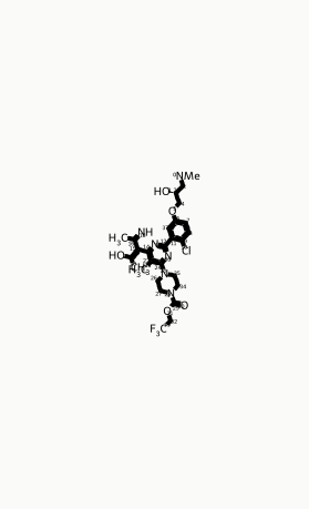 CNC[C@@H](O)COc1ccc(Cl)c(-c2nc(/C(C(C)=N)=C(\C)O)c(C)c(N3CCN(C(=O)OCC(F)(F)F)CC3)n2)c1